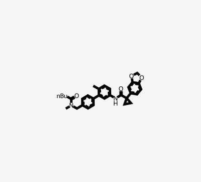 CCCCC(=O)N(C)Cc1ccc(-c2cc(NC(=O)C3(c4ccc5c(c4)OCO5)CC3)ccc2C)cc1